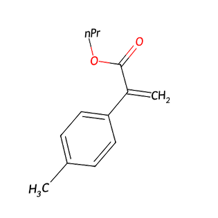 C=C(C(=O)OCCC)c1ccc(C)cc1